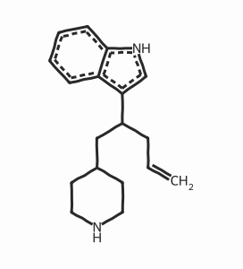 C=CCC(CC1CCNCC1)c1c[nH]c2ccccc12